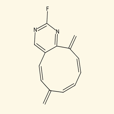 C=c1ccccc(=C)c2nc(F)ncc2cc1